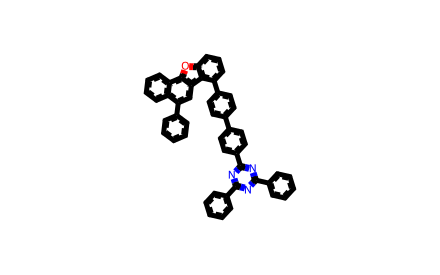 c1ccc(-c2nc(-c3ccccc3)nc(-c3ccc(-c4ccc(-c5cccc6oc7c8ccccc8c(-c8ccccc8)cc7c56)cc4)cc3)n2)cc1